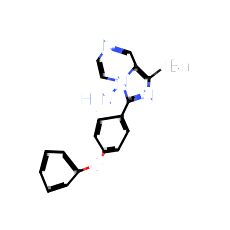 CC(C)(C)C1=C2C=NC=C[N+]2(N)C(c2ccc(Oc3ccccc3)cc2)=N1